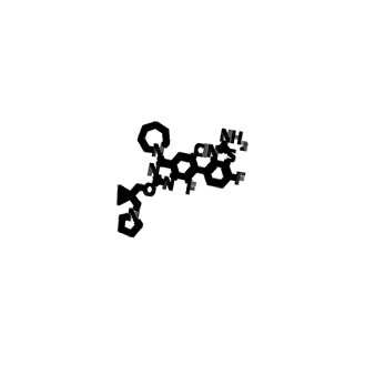 Nc1nc2c(-c3c(Cl)cc4c(N5CCCCCC5)nc(OCC5(CN6CCCC6)CC5)nc4c3F)ccc(F)c2s1